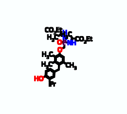 CCOC(=O)C(C)NP(=O)(COc1cc(C)c(Cc2ccc(O)c(C(C)C)c2)c(C)c1C)NC(C)C(=O)OCC